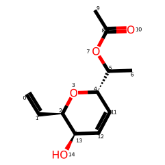 C=C[C@H]1O[C@H](C(C)OC(C)=O)C=C[C@H]1O